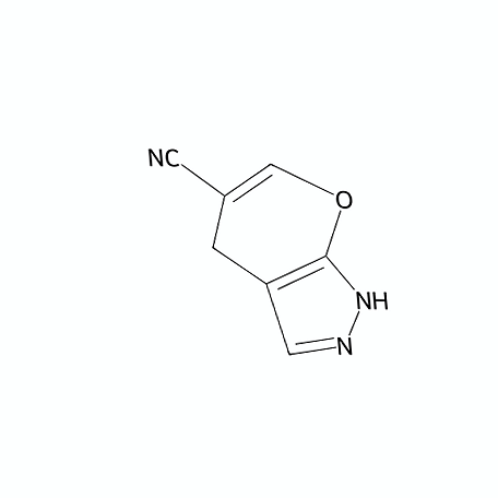 N#CC1=COc2[nH]ncc2C1